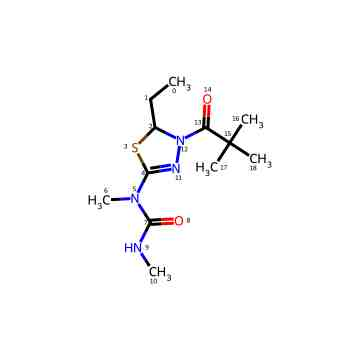 CCC1SC(N(C)C(=O)NC)=NN1C(=O)C(C)(C)C